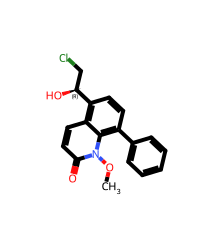 COn1c(=O)ccc2c([C@@H](O)CCl)ccc(-c3ccccc3)c21